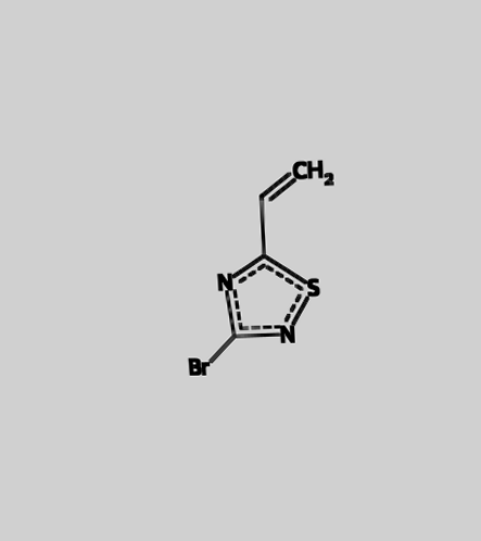 C=Cc1nc(Br)ns1